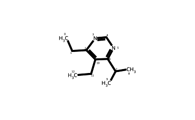 CCc1ncnc(C(C)C)c1CC